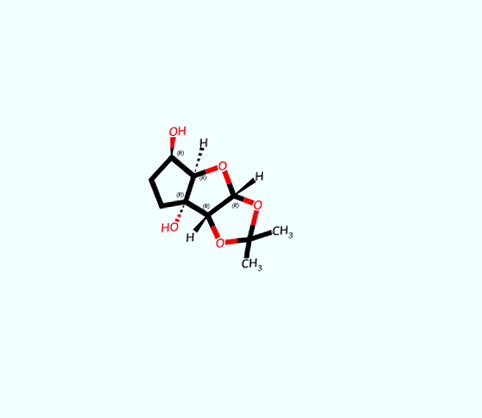 CC1(C)O[C@H]2O[C@@H]3[C@H](O)CC[C@]3(O)[C@H]2O1